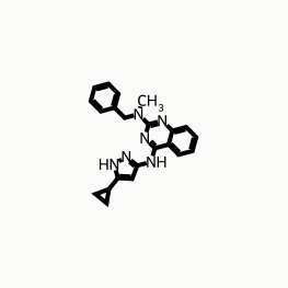 CN(Cc1ccccc1)c1nc(Nc2cc(C3CC3)[nH]n2)c2ccccc2n1